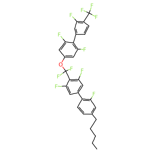 CCCCCc1ccc(-c2cc(F)c(C(F)(F)Oc3cc(F)c(-c4ccc(C(F)(F)F)c(F)c4)c(F)c3)c(F)c2)c(F)c1